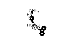 NC(=O)CNc1ccc(CC[C@H](NC(=O)OCC2c3ccccc3-c3ccccc32)C(=O)O)cn1